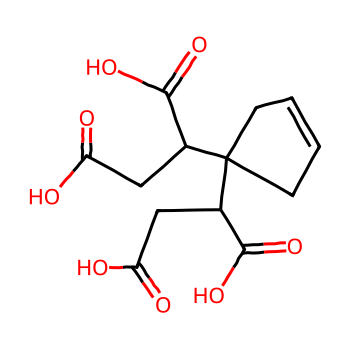 O=C(O)CC(C(=O)O)C1(C(CC(=O)O)C(=O)O)CC=CC1